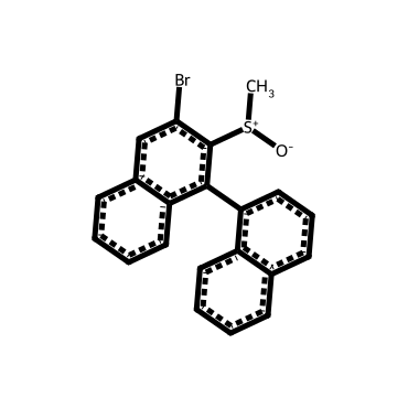 C[S+]([O-])c1c(Br)cc2ccccc2c1-c1cccc2ccccc12